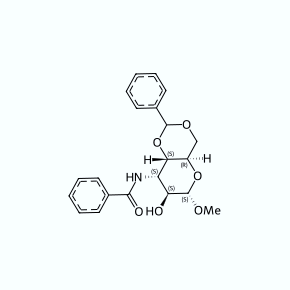 CO[C@H]1O[C@@H]2COC(c3ccccc3)O[C@H]2[C@@H](NC(=O)c2ccccc2)[C@@H]1O